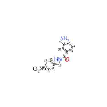 NCc1cccc(C(=O)NCc2ccc([N+](=O)[O-])cc2)c1